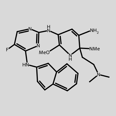 CNC1(CCN(C)C)NC(OC)=C(Nc2ncc(F)c(Nc3ccc4ccccc4c3)n2)C=C1N